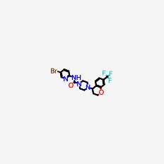 O=C(Nc1ccc(Br)cn1)N1CCN(C2CCOc3cc(C(F)(F)F)ccc32)CC1